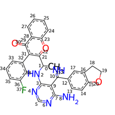 CC(Nc1ncnc(N)c1C(=N)c1ccc2c(c1)CCO2)c1oc2ccccc2c(=O)c1-c1cccc(F)c1